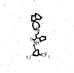 O=C(NCc1cc(C(F)(F)F)cc(C(F)(F)F)c1)C(CCN1CCC2(C=Cc3ccccc32)CC1)c1ccccc1